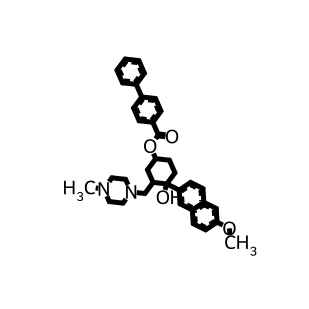 COc1ccc2cc(C3(O)CCC(OC(=O)c4ccc(-c5ccccc5)cc4)CC3CN3CCN(C)CC3)ccc2c1